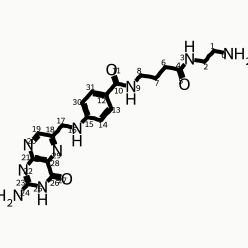 NCCNC(=O)CCCNC(=O)c1ccc(NCc2cnc3nc(N)[nH]c(=O)c3n2)cc1